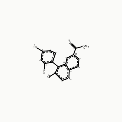 [C-]#[N+]c1ccc(-c2c(Cl)cnc3ccc(C(=O)OC)cc23)c(F)c1